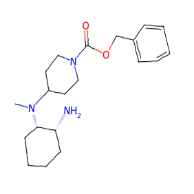 CN(C1CCN(C(=O)OCc2ccccc2)CC1)[C@H]1CCCC[C@H]1N